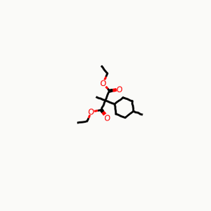 CCOC(=O)C(C)(C(=O)OCC)C1CCC(C)CC1